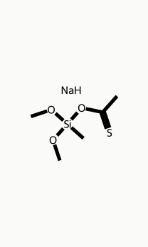 CO[Si](C)(OC)OC(C)=S.[NaH]